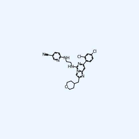 N#Cc1ccc(NCCNc2nc(-c3ccc(Cl)cc3Cl)cc3nc(CC4CCOCC4)cn23)nc1